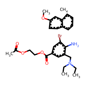 C.CCN(CC)Cc1cc(C(=O)OCCOC(C)=O)cc(Br)c1N.COc1ccc2ccccc2c1